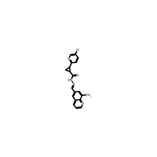 Cc1cc(/C=N/NC(=O)C2CC2c2ccc(Cl)cn2)cc2cccnc12